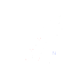 Cc1ncc2c(c1OC(=O)OC(C)I)COC2c1ccc(Cl)cc1